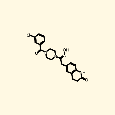 O=C1CCc2cc(CC(=NO)N3CCN(C(=O)c4cccc(Cl)c4)CC3)ccc2N1